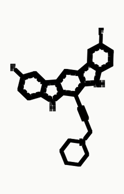 Fc1ccc2[nH]c3c(C#CCN4CCCCC4)c4[nH]c5ccc(F)cc5c4cc3c2c1